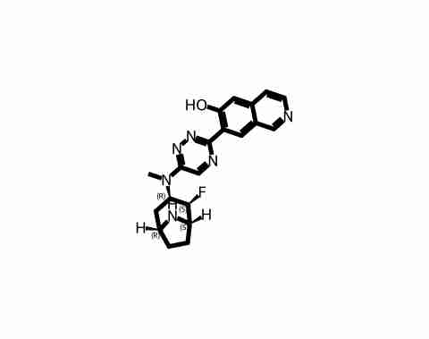 CN(c1cnc(-c2cc3cnccc3cc2O)nn1)[C@@H]1C[C@H]2CC[C@H](N2)[C@@H]1F